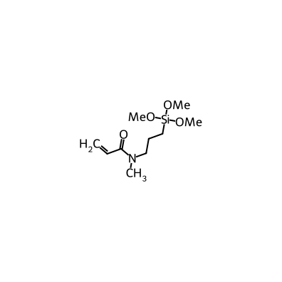 C=CC(=O)N(C)CCC[Si](OC)(OC)OC